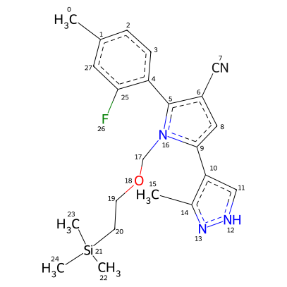 Cc1ccc(-c2c(C#N)cc(-c3c[nH]nc3C)n2COCC[Si](C)(C)C)c(F)c1